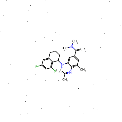 C=C(c1cc(C)c(N=C(C)C)c(NC2CCCc3cc(F)cc(F)c32)c1)N(C)C